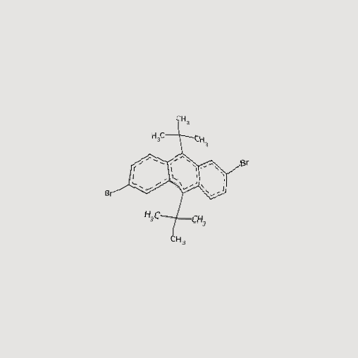 CC(C)(C)c1c2ccc(Br)cc2c(C(C)(C)C)c2ccc(Br)cc12